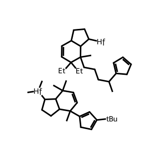 CCC1(CC)C=CC2CC[CH]([Hf])C2C1(C)CCCC(C)C1=CC=CC1.[CH3][Hf]([CH3])[CH]1CCC2C1C(C)(C)C=CC2(C)C1=CC(C(C)(C)C)=CC1